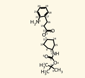 CC(C)(C)OC(=O)N[C@H]1CC[C@H](OC(=O)CCc2ccccc2N)CC1